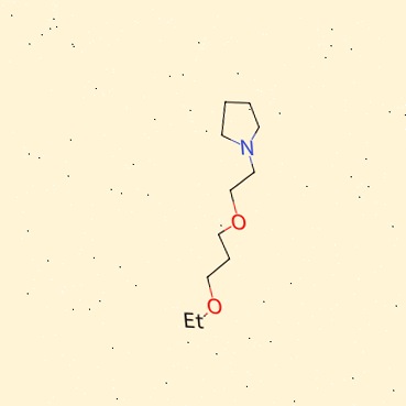 CCOCCCOCCN1CCCC1